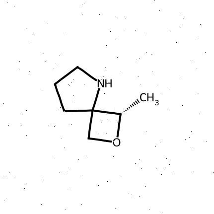 C[C@@H]1OCC12CCCN2